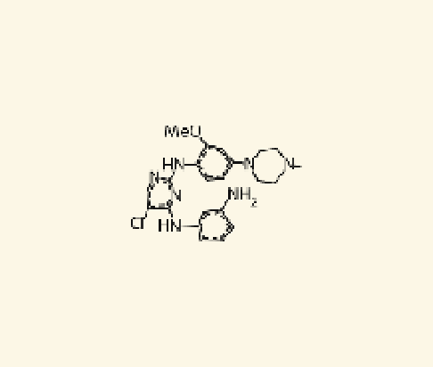 COc1cc(N2CCN(C)CC2)ccc1Nc1ncc(Cl)c(Nc2cccc(N)c2)n1